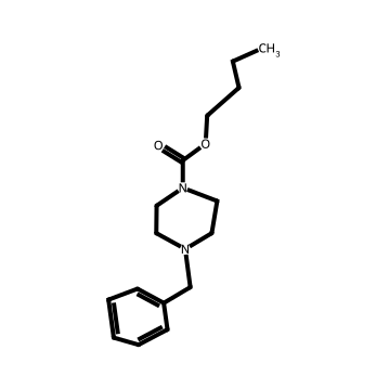 CCCCOC(=O)N1CCN(Cc2ccccc2)CC1